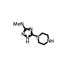 CNc1n[nH]c(N2CCNCC2)n1